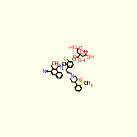 CCc1c(C#N)cc2ccccc2c1C(=O)N(C)C[C@@H](CCN1CCC(c2ccccc2[S@+](C)[O-])CC1)c1ccc(Cl)c(Cl)c1.O=C(O)CC(O)(CC(=O)O)C(=O)O